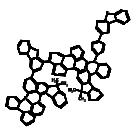 CC1(C)c2ccccc2-c2c(-c3ccccc3N(c3ccc(-c4ccc5sc6ccccc6c5c4)cc3)c3ccc(-c4cccc5c(-c6cc(-c7ccc(N(c8ccccc8-c8ccccc8)c8ccccc8-c8cccc9c8-c8ccccc8C9(C)C)cc7)cc7c6sc6ccccc67)ccc(-c6ccccc6)c45)cc3)cccc21